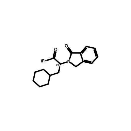 CC(C)C(=O)[C@H](CC1CCCCC1)N1Cc2ccccc2C1=O